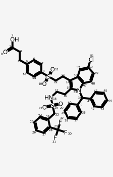 O=C(O)CCc1ccc(S(=O)(=O)CCc2c(CCNS(=O)(=O)Cc3ccccc3C(F)(F)F)n(C(c3ccccc3)c3ccccc3)c3ccc(Cl)cc23)cc1